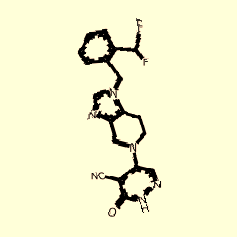 N#Cc1c(N2CCc3c(ncn3Cc3ccccc3C(F)F)C2)cn[nH]c1=O